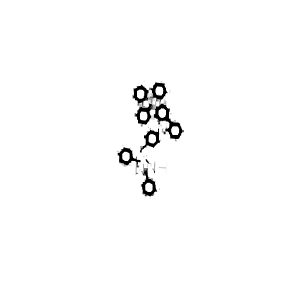 N=C(/N=C(\N=C\c1ccc(-n2c3ccccc3c3ccc([Si](c4ccccc4)(c4ccccc4)c4ccccc4)cc32)cc1)c1ccccc1)c1ccccc1